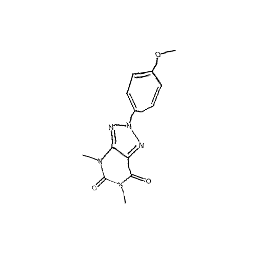 COc1ccc(-n2nc3c(=O)n(C)c(=O)n(C)c3n2)cc1